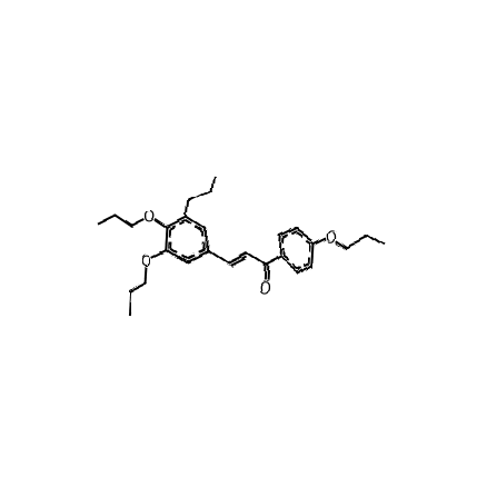 CCCOc1ccc(C(=O)C=Cc2cc(CCC)c(OCCC)c(OCCC)c2)cc1